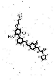 CCOCCOc1cc(C)c(-c2cccc(CNc3ccc(CCC(=O)N4CCCC4)c(F)c3)c2)c(C)c1